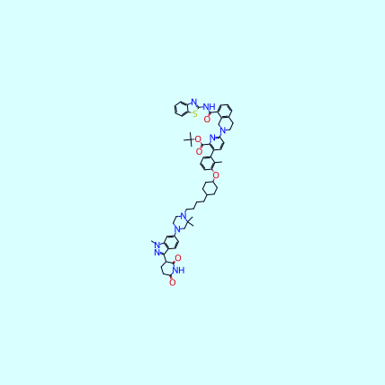 Cc1c(OC2CCC(CCCCN3CCN(c4ccc5c(C6CCC(=O)NC6=O)nn(C)c5c4)CC3(C)C)CC2)cccc1-c1ccc(N2CCc3cccc(C(=O)Nc4nc5ccccc5s4)c3C2)nc1C(=O)OC(C)(C)C